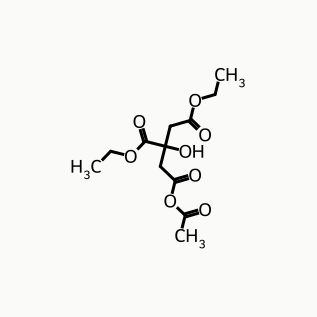 CCOC(=O)CC(O)(CC(=O)OC(C)=O)C(=O)OCC